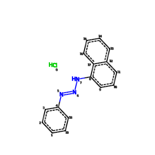 Cl.c1ccc(N=NNc2cccc3ccccc23)cc1